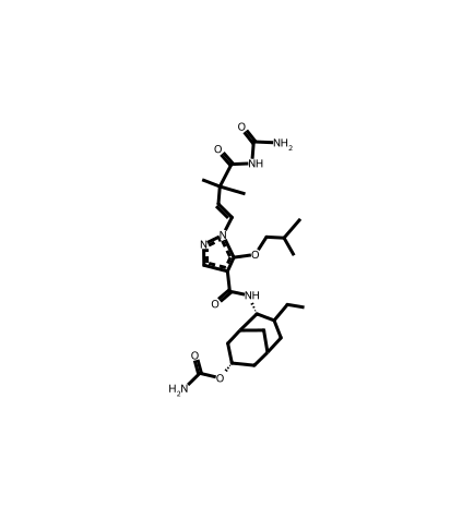 CCC1CC2CC(C[C@@H](OC(N)=O)C2)[C@@H]1NC(=O)c1cnn(/C=C/C(C)(C)C(=O)NC(N)=O)c1OCC(C)C